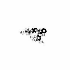 CNC(=O)[C@H](CC(C)C)Nc1nc(N2CCC3(CN(C(=O)OC(C)(C)C)C3)C2)nc2c1CCCC2